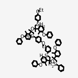 CCOc1ccc([SiH2]CC(C)(OC(C)(C[SiH2]c2ccc(OCC)cc2)c2cccc(Oc3ccccc3)c2C)c2cccc(Oc3ccccc3)c2C)cc1.Cc1c(Oc2ccccc2)cccc1C(C)(C[SiH2]c1ccccc1)OC(C)(C[SiH2]c1ccccc1)c1cccc(Oc2ccccc2)c1C